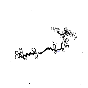 COCC1OC(N2CC(/C=C/C(=O)NCCCCCCNC(=O)CCCCC3SCC4NC(=O)NC43)C(=O)NC2=O)CC1OP(=O)(O)OC